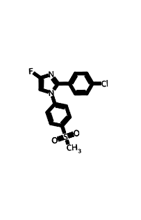 CS(=O)(=O)c1ccc(-n2cc(F)nc2-c2ccc(Cl)cc2)cc1